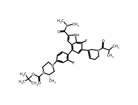 CC(C)C(=O)N1CCC=C(c2cc(-c3ccc(N4CCN(C(=O)OC(C)(C)C)[C@@H](C)C4)cc3F)c3cc(C(=O)N(C)C)[nH]c3c2F)C1